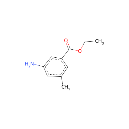 CCOC(=O)c1cc(C)cc(N)c1